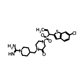 C=CC(c1cc2ccc(Cl)cc2s1)S(=O)(=O)N1CCN(CC2CCN(C(=N)N)CC2)C(=O)C1